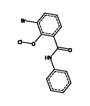 O=C(Nc1ccccc1)c1cccc(Br)c1OCl